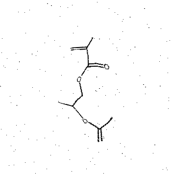 C=C(C)OC(C)COC(=O)C(=C)C